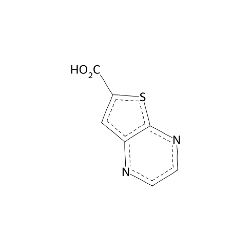 O=C(O)c1cc2nccnc2s1